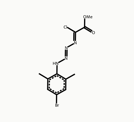 COC(=O)C(Cl)=NN=NNc1c(C)cc(Br)cc1C